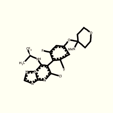 CNC1(Oc2cc(F)c(-c3c(Cl)nc4ncnn4c3N[C@@H](C)C(F)(F)F)c(F)c2)CCOCC1